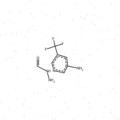 NNC=O.Nc1cncc(C(F)(F)F)c1